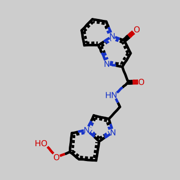 O=C(NCc1cn2cc(OO)ccc2n1)c1cc(=O)n2ccccc2n1